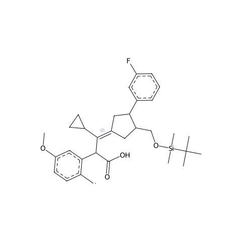 [CH2]c1ccc(OC)cc1C(C(=O)O)/C(=C1\CC(CO[Si](C)(C)C(C)(C)C)C(c2cccc(F)c2)C1)C1CC1